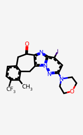 Cc1c(C(F)(F)F)ccc2c1Cc1c(nc3c(I)cc(N4CCOCC4)nn13)C(=O)C2